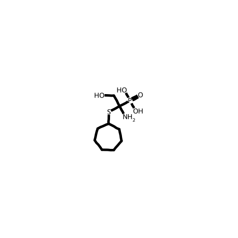 NC(CO)(SC1CCCCCC1)P(=O)(O)O